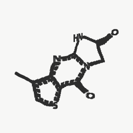 Cc1csc2c(=O)n3c(nc12)NC(=O)C3